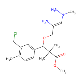 COC(=O)C(C)(C)C(OC/C(N)=C/N(C)N)c1ccc(C)c(CCl)c1